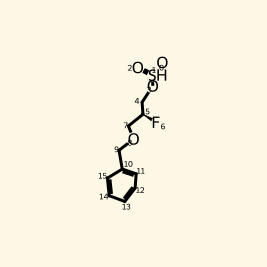 O=[SH](=O)OC[C@@H](F)COCc1ccccc1